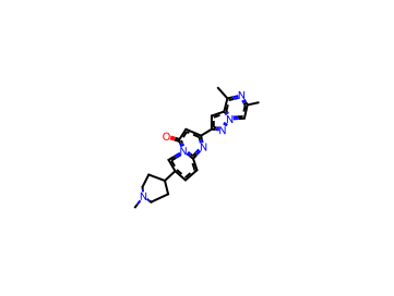 Cc1cn2nc(-c3cc(=O)n4cc(C5CCN(C)CC5)ccc4n3)cc2c(C)n1